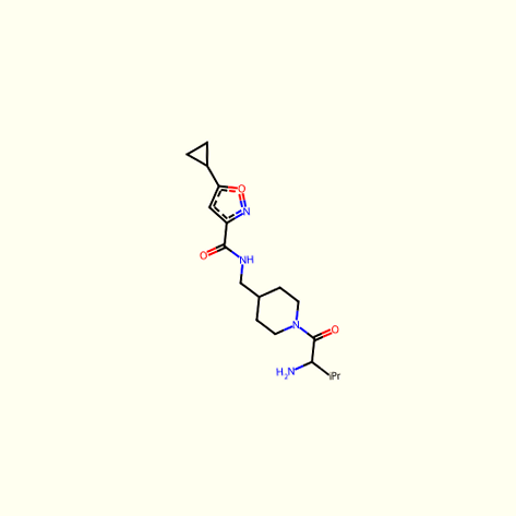 CC(C)C(N)C(=O)N1CCC(CNC(=O)c2cc(C3CC3)on2)CC1